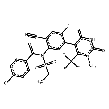 CCS(=O)(=O)N(C(=O)c1ccc(Cl)cc1)c1cc(-c2c(C(F)(F)F)n(C)c(=O)[nH]c2=O)c(F)cc1C#N